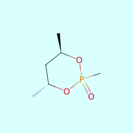 C[C@@H]1C[C@@H](C)OP(C)(=O)O1